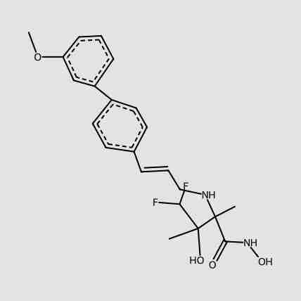 COc1cccc(-c2ccc(/C=C/CNC(C)(C(=O)NO)C(C)(O)C(F)F)cc2)c1